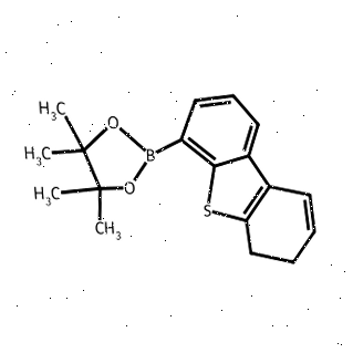 CC1(C)OB(c2cccc3c4c(sc23)CCC=C4)OC1(C)C